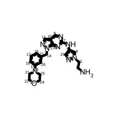 NCCn1cc(Nc2ncc3cnn(Cc4cccc(N5CCOCC5)c4)c3n2)cn1